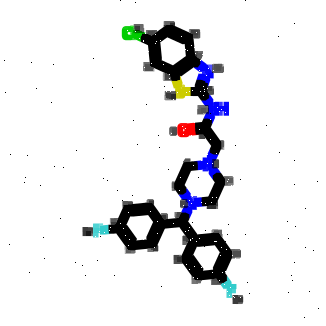 O=C(CN1CCN(C(c2ccc(F)cc2)c2ccc(F)cc2)CC1)Nc1nc2ccc(Cl)cc2s1